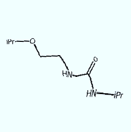 CC(C)NC(=O)NCCOC(C)C